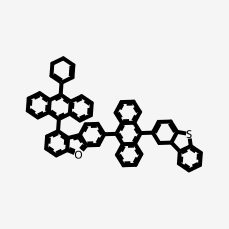 C1=CC(c2c3ccccc3c(-c3cccc4oc5cc(-c6c7ccccc7c(C7=CC=C8Sc9ccccc9C8C7)c7ccccc67)ccc5c34)c3ccccc23)=CCC1